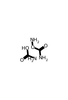 NC(=O)O.NOC(N)=O